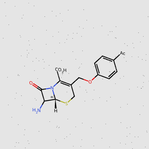 CC(=O)c1ccc(OCC2=C(C(=O)O)N3C(=O)C(N)[C@H]3SC2)cc1